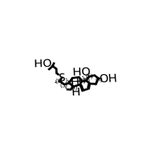 C[C@H](SCCC(C)(C)O)[C@H]1CC[C@H]2C3=CC=C4C[C@@H](O)C[C@H](O)[C@]4(C)[C@H]3CC[C@]12C